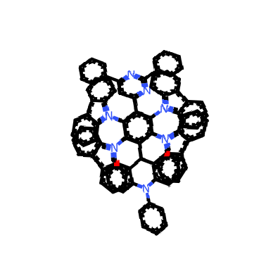 c1ccc(-c2cc(-c3c(-n4c5ccccc5c5ccccc54)c(-n4c5ccccc5c5ccccc54)c(C4c5ccccc5N(c5ccccc5)c5ccccc54)c(-n4c5ccccc5c5ccccc54)c3-n3c4ccccc4c4ccccc43)nc(-c3ccccc3)n2)cc1